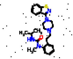 CC(C)NC(=O)N(C)c1ccccc1CCN1CCN(c2nsc3ccccc23)CC1